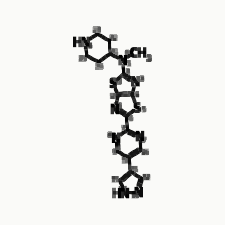 CN(c1nc2sc(-c3ncc(-c4cn[nH]c4)cn3)nc2s1)C1CCNCC1